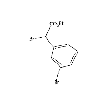 CCOC(=O)C(Br)c1cccc(Br)c1